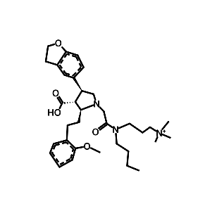 CCCCN(CCC[N+](C)(C)C)C(=O)CN1C[C@H](c2ccc3c(c2)CCO3)[C@@H](C(=O)O)[C@@H]1CCc1ccccc1OC